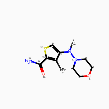 CCCc1c(N(C(C)=O)N2CCOCC2)csc1C(N)=O